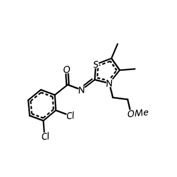 COCCn1c(C)c(C)s/c1=N\C(=O)c1cccc(Cl)c1Cl